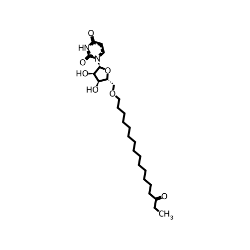 CCC(=O)CCCCCCCCCCCCCCOC[C@H]1O[C@@H](n2ccc(=O)[nH]c2=O)[C@H](O)[C@@H]1O